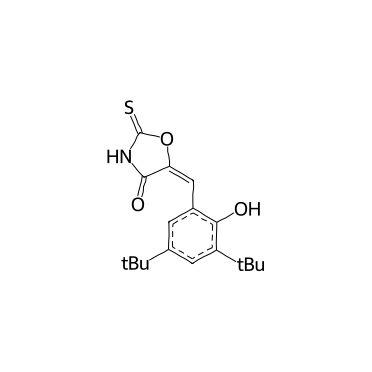 CC(C)(C)c1cc(C=C2OC(=S)NC2=O)c(O)c(C(C)(C)C)c1